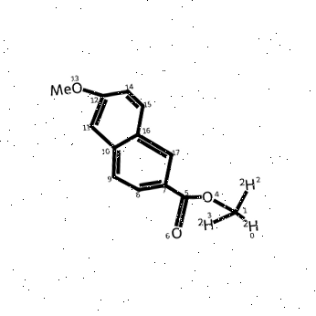 [2H]C([2H])([2H])OC(=O)c1ccc2cc(OC)ccc2c1